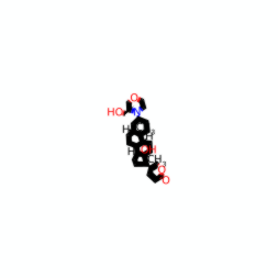 C[C@]12CC[C@H](N3CCOC[C@@H]3CO)C[C@H]1CC[C@@H]1[C@@H]2CC[C@]2(C)[C@@H](c3ccc(=O)oc3)CC[C@]12O